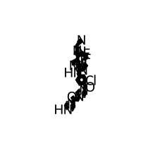 N#CCn1cc(-c2cnc3c(Nc4ccc(C(=O)N5CCN(CC(=O)N6CCNCC6)CC5)c(Cl)c4)nccn23)c(C(F)(F)F)n1